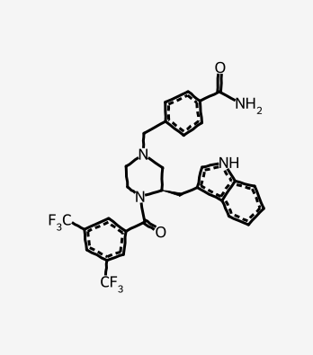 NC(=O)c1ccc(CN2CCN(C(=O)c3cc(C(F)(F)F)cc(C(F)(F)F)c3)[C@H](Cc3c[nH]c4ccccc34)C2)cc1